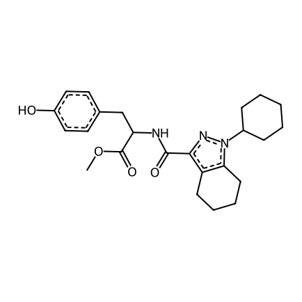 COC(=O)C(Cc1ccc(O)cc1)NC(=O)c1nn(C2CCCCC2)c2c1CCCC2